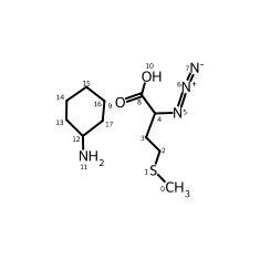 CSCCC(N=[N+]=[N-])C(=O)O.NC1CCCCC1